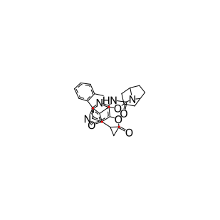 Cc1ccccc1-c1noc(C2CC2)c1COC1CC2CCC(C1)N2C(=O)Nc1ncccc1OC=O